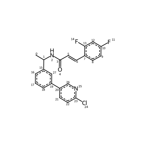 CC(NC(=O)C=Cc1ccc(F)cc1F)c1cccc(-c2ccc(Cl)nc2)c1